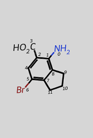 Nc1c(C(=O)O)cc(Br)c2c1CCC2